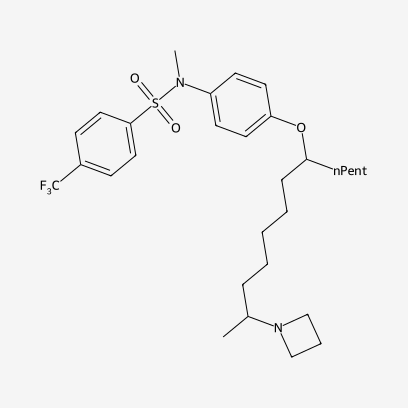 CCCCCC(CCCCCC(C)N1CCC1)Oc1ccc(N(C)S(=O)(=O)c2ccc(C(F)(F)F)cc2)cc1